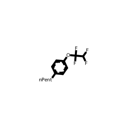 CCCCCc1ccc(OC(F)(F)C(F)F)cc1